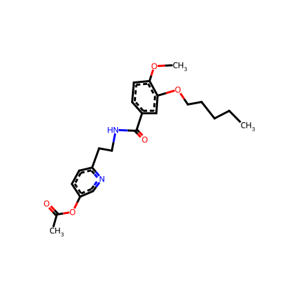 CCCCCOc1cc(C(=O)NCCc2ccc(OC(C)=O)cn2)ccc1OC